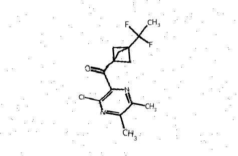 Cc1nc(Cl)c(C(=O)C23CC(C(C)(F)F)(C2)C3)nc1C